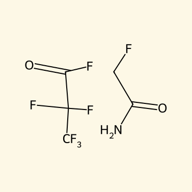 NC(=O)CF.O=C(F)C(F)(F)C(F)(F)F